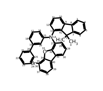 CC1(C)c2ccccc2-c2cccc(N(c3cccc(-c4ccccc4)c3)c3cccc4c3oc3c(Br)cccc34)c21